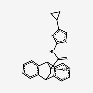 CC1(C(=O)Nc2nc(C3CC3)cs2)CC2c3ccccc3C1c1ccccc12